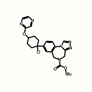 CC(C)(C)OC(=O)N1Cc2cc(C3(Cl)CCC(Oc4cnccn4)CC3)ccc2-n2cnnc2C1